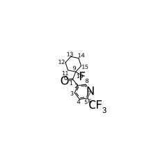 O=C(c1ccc(C(F)(F)F)nc1)C1(F)CCCCC1